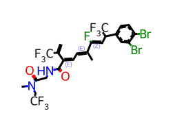 C=C(\C(=C/C=C(C)/C(F)=C/C(c1ccc(Br)c(Br)c1)C(F)(F)F)C(=O)NCC(=O)N(C)CC(F)(F)F)C(F)(F)F